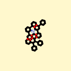 c1ccc(-c2ccc(N(c3ccc4c(-c5ccccc5)c(-c5ccccc5)c5ccccc5c4c3)c3c(-c4ccccc4)cccc3-c3ccccc3)c(-c3ccccc3)c2)cc1